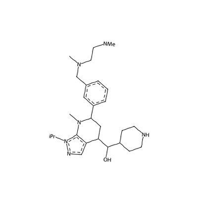 CNCCN(C)Cc1cccc(C2CC(C(O)C3CCNCC3)c3cnn(C(C)C)c3N2C)c1